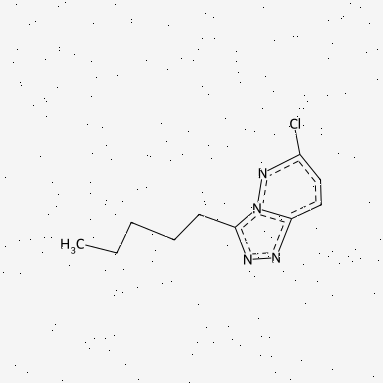 CCCCCc1nnc2ccc(Cl)nn12